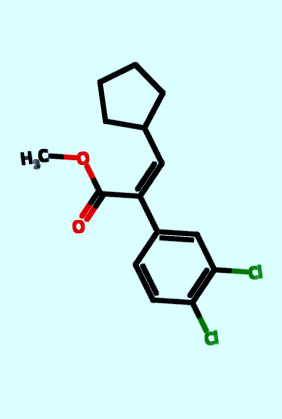 COC(=O)C(=CC1CCCC1)c1ccc(Cl)c(Cl)c1